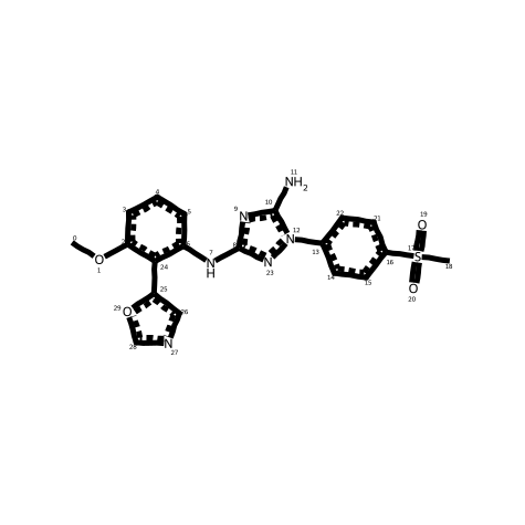 COc1cccc(Nc2nc(N)n(-c3ccc(S(C)(=O)=O)cc3)n2)c1-c1cnco1